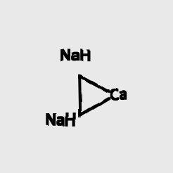 [CH2]1[CH2][Ca]1.[NaH].[NaH]